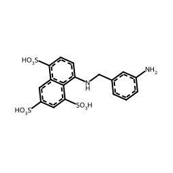 Nc1cccc(CNc2ccc(S(=O)(=O)O)c3cc(S(=O)(=O)O)cc(S(=O)(=O)O)c23)c1